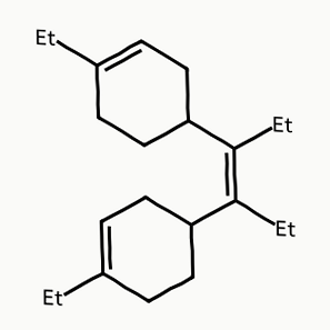 CCC1=CCC(C(CC)=C(CC)C2CC=C(CC)CC2)CC1